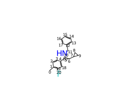 Cc1ccc([C@H](CC2CC2)NCc2ccccc2)cc1F